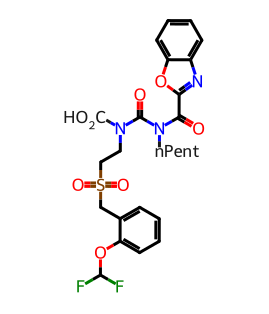 CCCCCN(C(=O)c1nc2ccccc2o1)C(=O)N(CCS(=O)(=O)Cc1ccccc1OC(F)F)C(=O)O